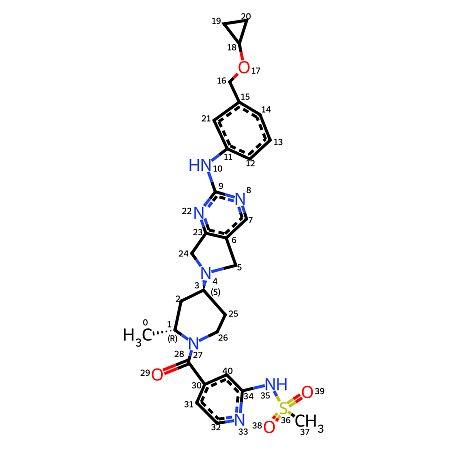 C[C@@H]1C[C@@H](N2Cc3cnc(Nc4cccc(COC5CC5)c4)nc3C2)CCN1C(=O)c1ccnc(NS(C)(=O)=O)c1